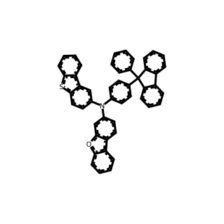 c1ccc(C2(c3ccc(N(c4ccc5c(c4)oc4ccccc45)c4ccc5sc6ccccc6c5c4)cc3)c3ccccc3-c3ccccc32)cc1